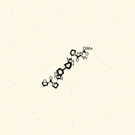 COC(=O)N[C@H](C(=O)N1CCC[C@H]1c1nc2cc(-c3ccc4[nH]c([C@@H]5CCCN5C(=O)[C@H]5CCCO5)nc4c3)ccc2[nH]1)C(C)C